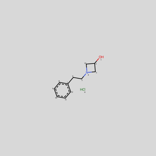 Cl.OC1CN(CCc2ccccc2)C1